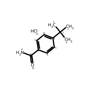 CC(C)(C)c1ccc(C(N)=O)cc1.Cl